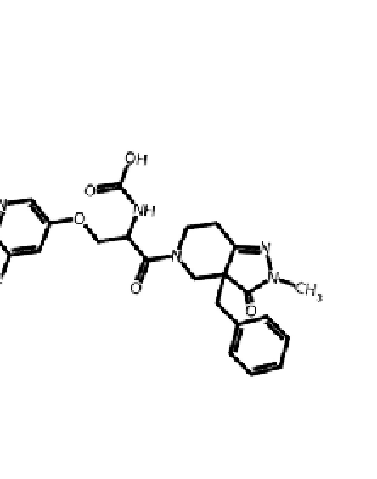 CN1N=C2CCN(C(=O)C(COc3cncc(F)c3)NC(=O)O)CC2(Cc2ccccc2)C1=O